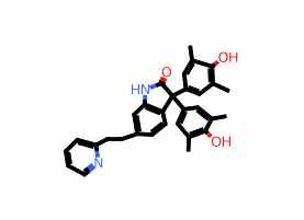 Cc1cc(C2(c3cc(C)c(O)c(C)c3)C(=O)Nc3cc(CCc4ccccn4)ccc32)cc(C)c1O